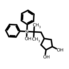 CC(C)(CC1CC(O)C(O)C1)[Si](O)(c1ccccc1)c1ccccc1